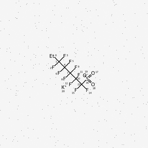 CCC(F)(F)C(F)(F)C(F)(F)C(F)(F)C(F)(F)S(=O)(=O)[O-].[K+]